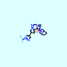 O=C(C1CC1)N1C2CCC1CN(c1ncnn3cc(-c4cnn(C(F)F)c4)cc13)C2